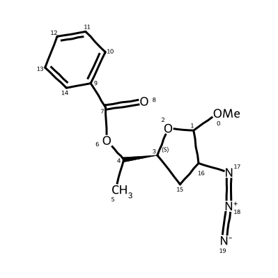 COC1O[C@H](C(C)OC(=O)c2ccccc2)CC1N=[N+]=[N-]